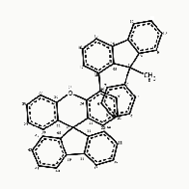 CC1(c2ccccc2)c2ccccc2-c2cccc(-c3cccc4c3Oc3ccccc3C43c4ccccc4-c4ccccc43)c21